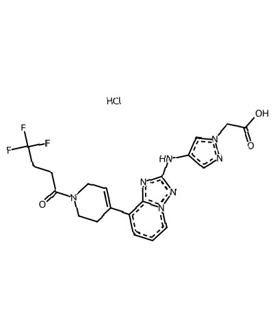 Cl.O=C(O)Cn1cc(Nc2nc3c(C4=CCN(C(=O)CCC(F)(F)F)CC4)cccn3n2)cn1